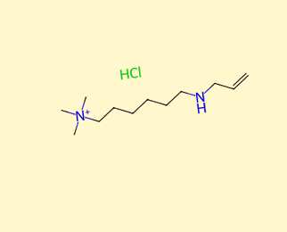 C=CCNCCCCCC[N+](C)(C)C.Cl